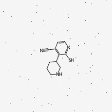 N#Cc1ccnc(S)c1C1CCCNC1